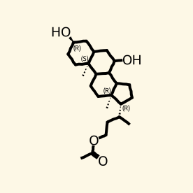 CC(=O)OCCC(C)[C@H]1CCC2C3C(O)CC4C[C@H](O)CC[C@]4(C)C3CC[C@@]21C